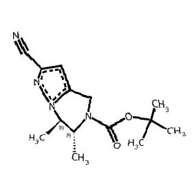 C[C@@H]1[C@@H](C)n2nc(C#N)cc2CN1C(=O)OC(C)(C)C